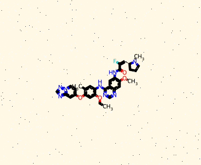 CCOc1cc(Oc2ccn3ncnc3c2)c(C)cc1Nc1ncnc2cc(OC)c(NC(=O)/C(F)=C\[C@H]3CCCN3C)cc12